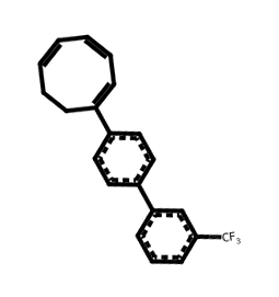 FC(F)(F)c1cccc(-c2ccc(/C3=C/C=C\C=C/CC3)cc2)c1